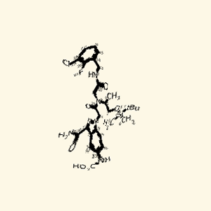 CC(CO[Si](C)(C)C(C)(C)C)N(CC(=O)NCc1cccc(Cl)c1F)C(=O)Cn1nc(C(N)=O)c2cc(NC(=O)O)ccc21